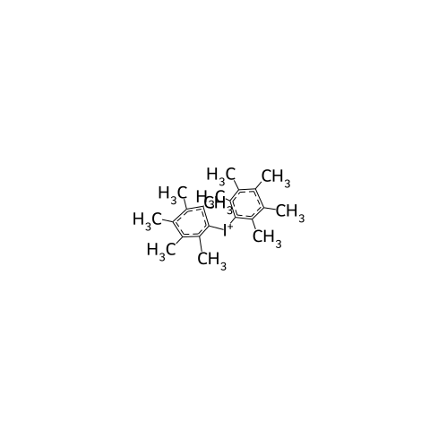 Cc1c(C)c(C)c([I+]c2c(C)c(C)c(C)c(C)c2C)c(C)c1C